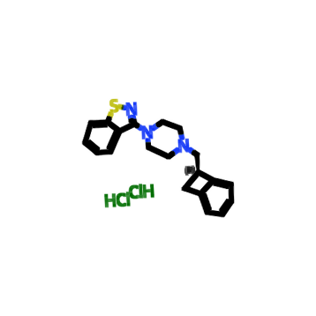 Cl.Cl.c1ccc2c(c1)C[C@H]2CN1CCN(c2nsc3ccccc23)CC1